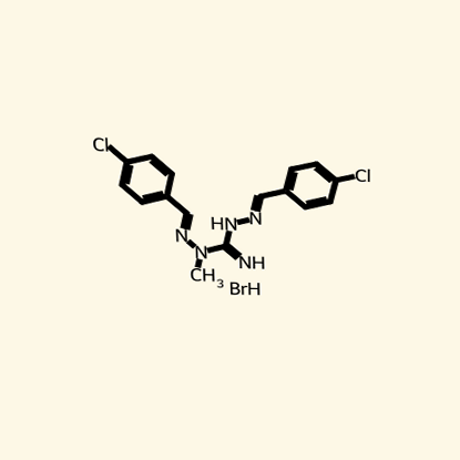 Br.CN(N=Cc1ccc(Cl)cc1)C(=N)NN=Cc1ccc(Cl)cc1